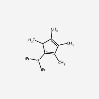 CC1=C(C)C(C)C(P(C(C)C)C(C)C)=C1C